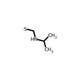 CC(C)NC[S]